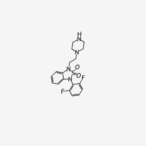 O=S1(=O)N(CCN2CCNCC2)c2ccccc2N1c1c(F)cccc1F